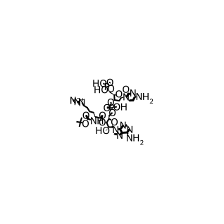 CC(C)(C)OC(=O)N[C@@H](CCCCN=[N+]=[N-])C(=O)O[C@H]1[C@@H](O)[C@H](n2cnc3c(N)ncnc32)O[C@@H]1COP(=O)(O)O[C@H]1C[C@H](n2ccc(N)nc2=O)O[C@@H]1COP(=O)(O)O